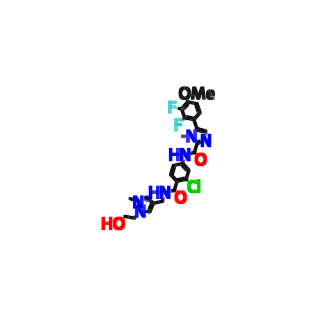 COc1ccc(-c2cnc(C(=O)Nc3ccc(C(=O)NCc4cn(CCO)[n+](C)c4)c(Cl)c3)n2C)c(F)c1F